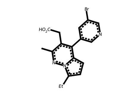 CCc1ccc2c(-c3cncc(Br)c3)c(CC(=O)O)c(C)nn12